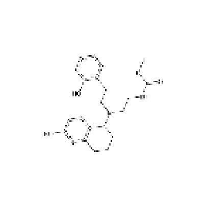 N#Cc1ccc2c(n1)CCCC2N(CCBC(=O)OI)CCc1ccccc1O